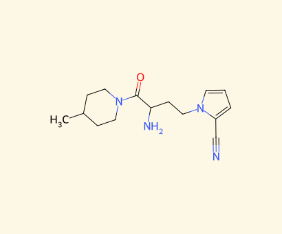 CC1CCN(C(=O)C(N)CCn2cccc2C#N)CC1